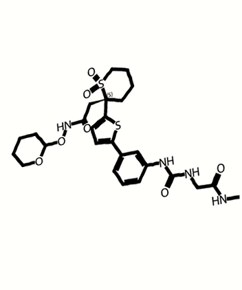 CNC(=O)CNC(=O)Nc1cccc(-c2ccc([C@@]3(CC(=O)NOC4CCCCO4)CCCCS3(=O)=O)s2)c1